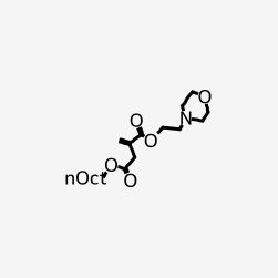 C=C(CC(=O)OCCCCCCCC)C(=O)OCCN1CCOCC1